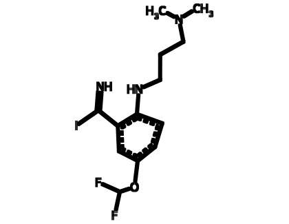 CN(C)CCCNc1ccc(OC(F)F)cc1C(=N)I